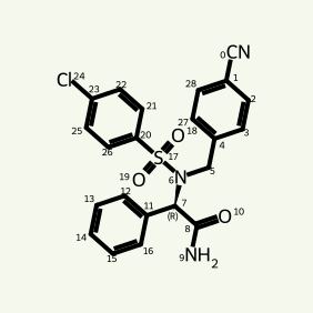 N#Cc1ccc(CN([C@@H](C(N)=O)c2ccccc2)S(=O)(=O)c2ccc(Cl)cc2)cc1